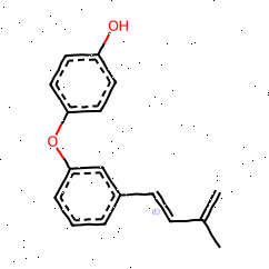 C=C(C)/C=C/c1cccc(Oc2ccc(O)cc2)c1